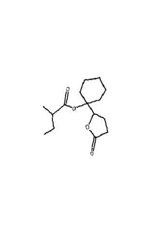 CCC(C)C(=O)OC1(C2CCC(=O)O2)CCCCC1